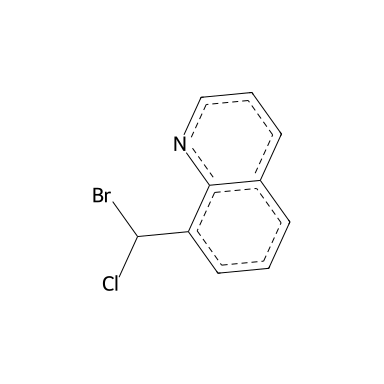 ClC(Br)c1cccc2cccnc12